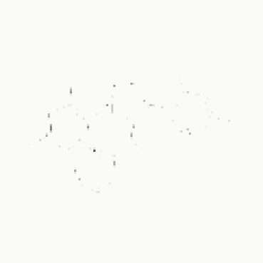 CC(=C1N(c2c(C)cc(C)cc2C)CCN1c1c(C)cc(C)cc1C)c1ccccc1